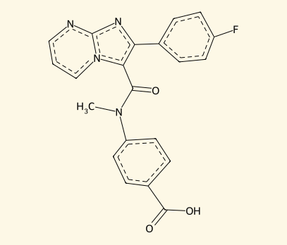 CN(C(=O)c1c(-c2ccc(F)cc2)nc2ncccn12)c1ccc(C(=O)O)cc1